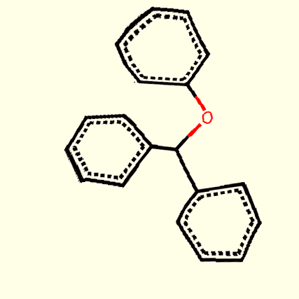 [c]1ccccc1OC(c1ccccc1)c1ccccc1